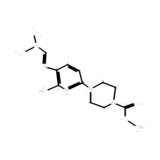 CN(C)/C=N/c1ccc(N2CCN(C(=O)OC(C)(C)C)CC2)nc1C#N